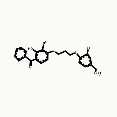 CCCc1c(OCCCSc2ccc(CC(=O)O)cc2Cl)ccc(C(=O)c2ccccc2)c1O